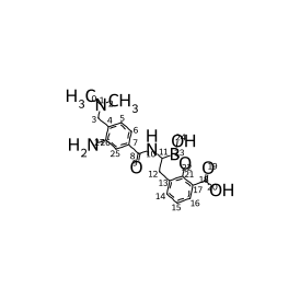 CN(C)Cc1ccc(C(=O)NC2Cc3cccc(C(=O)O)c3OB2O)cc1N